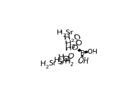 O.O.O.O.OB(O)O.[SrH2].[SrH2].[SrH2]